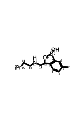 Cc1ccc2c(c1)B(O)OC2CNCCC(C)C